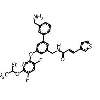 CCC(Oc1nc(Oc2cc(CNC(=O)/C=C/c3ccsc3)cc(-c3cccc(CN)c3)c2)c(F)cc1F)C(=O)O